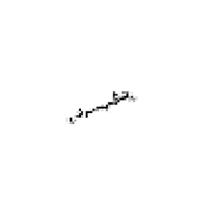 CC(C)C(C)(C)CCCS/C=C/C(=O)OCCCCCCOC(=O)/C=C/S